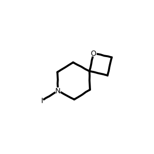 IN1CCC2(CCO2)CC1